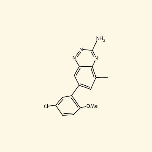 COc1ccc(Cl)cc1-c1cc(C)c2nc(N)nnc2c1